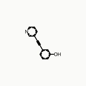 Oc1cccc(C#Cc2cccnc2)c1